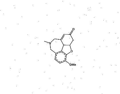 COc1ccc2c3c1OC1CC(=O)C=C(CN(C)C2)C31